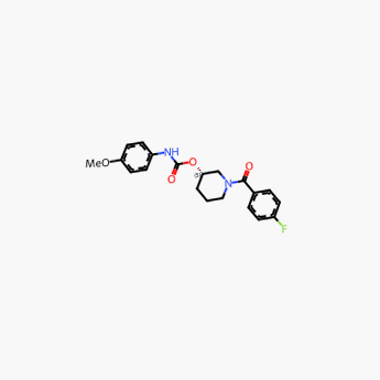 COc1ccc(NC(=O)O[C@H]2CCCN(C(=O)c3ccc(F)cc3)C2)cc1